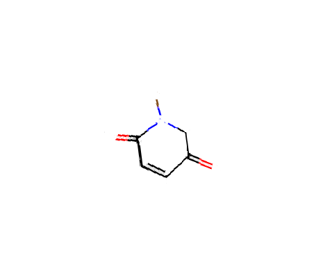 O=C1C=CC(=O)N(Br)C1